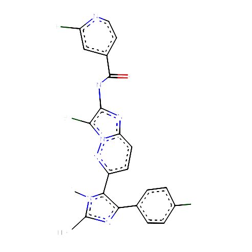 Cc1nc(-c2ccc(F)cc2)c(-c2ccc3nc(NC(=O)c4ccnc(F)c4)c(Br)n3n2)n1C